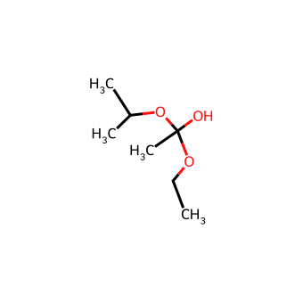 CCOC(C)(O)OC(C)C